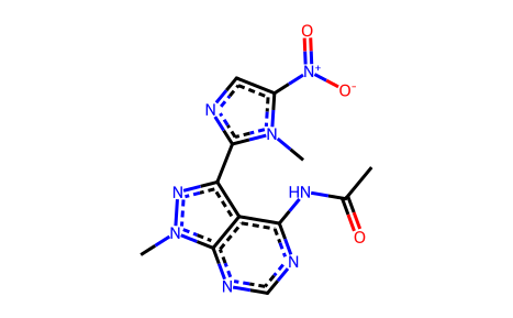 CC(=O)Nc1ncnc2c1c(-c1ncc([N+](=O)[O-])n1C)nn2C